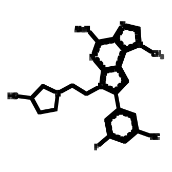 [C-]#[N+]c1cc(F)cc(-c2cc3c4c(ncn4C)c(NC)nc3n2CCN2CCC(O)C2)c1